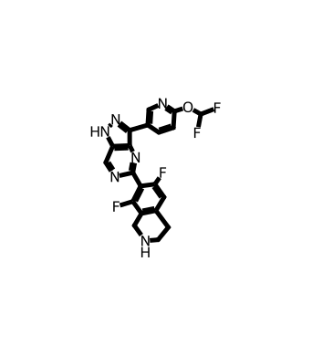 Fc1cc2c(c(F)c1-c1ncc3[nH]nc(-c4ccc(OC(F)F)nc4)c3n1)CNCC2